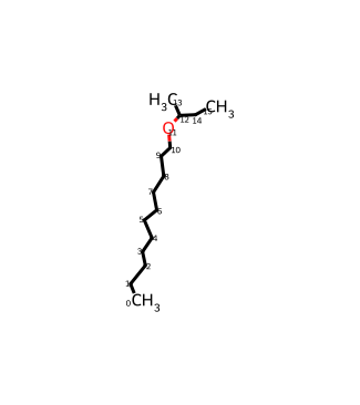 CCCCCCCCCCCOC(C)CC